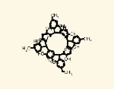 CCc1ccc(C2c3cc(c(O)cc3O)C(c3ccc(C)cc3C)c3cc(c(O)cc3O)C(c3ccc(C)cc3C)c3cc(c(O)cc3O)C(c3ccc(C)cc3C)c3cc2c(O)cc3O)c(C)c1